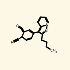 CCCCc1nn2ccccc2c1C1=CC(=C=O)C(C#N)C=C1